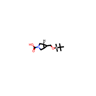 CC(C)(C)[Si](C)(C)OCC1C2CN(C(=O)O)C[C@H]12